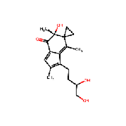 CC1=C(CCC(O)CO)C2=C(C)C3(CC3)[C@@](C)(O)C(=O)C2=C1